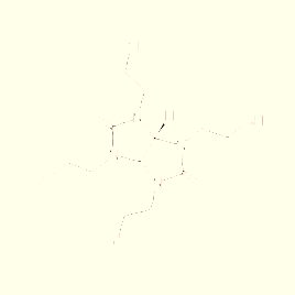 CCCN1C(=O)N(CCS)[C@@H]2C1N(CCS)C(=O)N2CCS